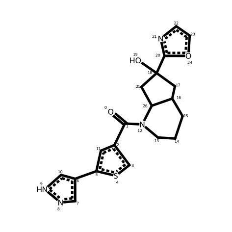 O=C(c1csc(-c2cn[nH]c2)c1)N1CCCC2CC(O)(c3ncco3)CC21